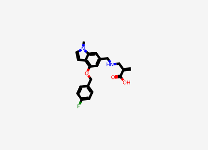 C=C(CNCc1cc(OCc2ccc(F)cc2)c2ccn(C)c2c1)C(=O)O